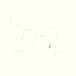 COC(=O)C(O)[C@@H]1CCCN1c1cc(-n2ccnc2)c2ccc(Cl)c(Cl)c2n1